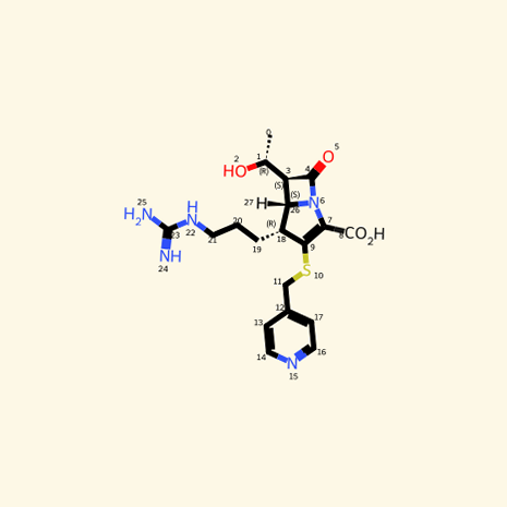 C[C@@H](O)[C@H]1C(=O)N2C(C(=O)O)=C(SCc3ccncc3)[C@H](CCCNC(=N)N)[C@H]12